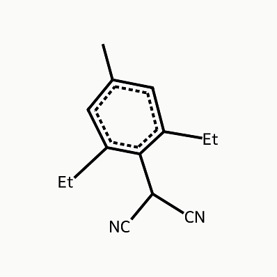 CCc1cc(C)cc(CC)c1C(C#N)C#N